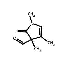 CC1=CN(C)C(=O)C1(C)C=O